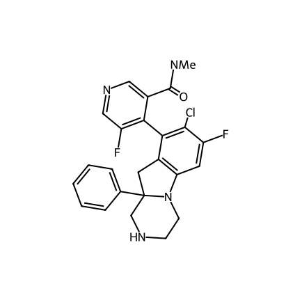 CNC(=O)c1cncc(F)c1-c1c(Cl)c(F)cc2c1CC1(c3ccccc3)CNCCN21